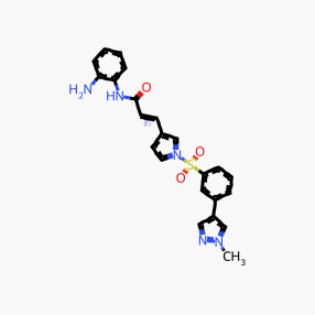 Cn1cc(-c2cccc(S(=O)(=O)n3ccc(/C=C/C(=O)Nc4ccccc4N)c3)c2)cn1